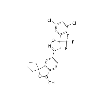 CCC1(CC)OB(O)c2ccc(C3=NOC(c4cc(Cl)cc(Cl)c4)(C(F)(F)F)C3)cc21